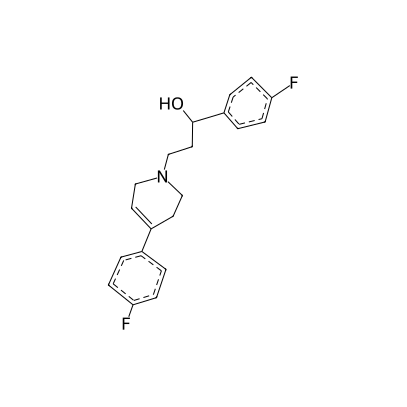 OC(CCN1CC=C(c2ccc(F)cc2)CC1)c1ccc(F)cc1